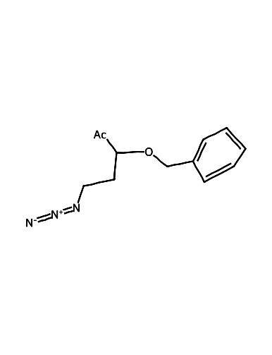 CC(=O)C(CCN=[N+]=[N-])OCc1ccccc1